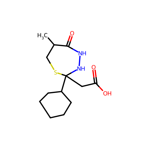 CC1CSC(CC(=O)O)(C2CCCCC2)NNC1=O